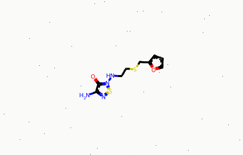 Nc1nsn(NCCSCc2ccco2)c1=O